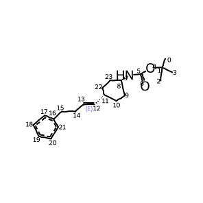 CC(C)(C)OC(=O)N[C@H]1CC[C@H](/C=C/CCc2ccccc2)CC1